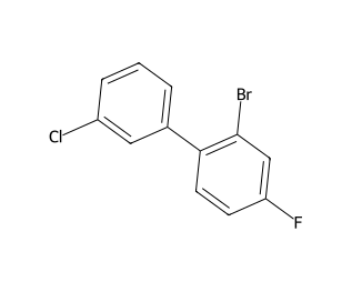 Fc1ccc(-c2cccc(Cl)c2)c(Br)c1